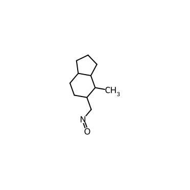 CC1C(CN=O)CCC2CCCC21